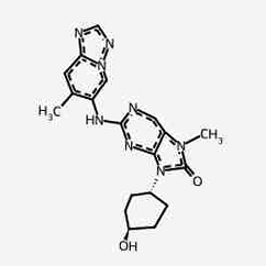 Cc1cc2ncnn2cc1Nc1ncc2c(n1)n([C@H]1CC[C@H](O)CC1)c(=O)n2C